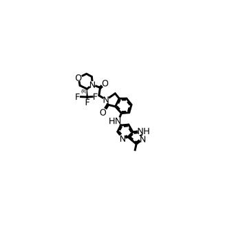 Cc1n[nH]c2cc(Nc3cccc4c3C(=O)N(CC(=O)N3CCOC[C@@H]3C(F)(F)F)C4)cnc12